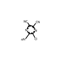 CCCc1nc(C#N)c(C#N)nc1Cl